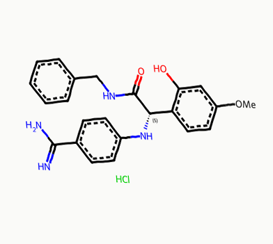 COc1ccc([C@H](Nc2ccc(C(=N)N)cc2)C(=O)NCc2ccccc2)c(O)c1.Cl